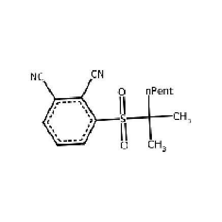 CCCCCC(C)(C)S(=O)(=O)c1cccc(C#N)c1C#N